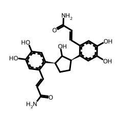 NC(=O)/C=C/c1cc(O)c(O)cc1[C@H]1CC[C@@H](c2cc(O)c(O)cc2/C=C/C(N)=O)C1O